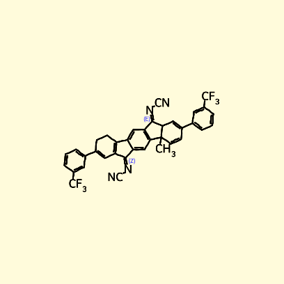 CC12C=CC(c3cccc(C(F)(F)F)c3)=CC1/C(=N\C#N)c1cc3c(cc12)/C(=N/C#N)C1=C3CCC(c2cccc(C(F)(F)F)c2)=C1